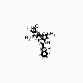 COC(=O)[C@H](C[C@@H]1CCNC1=O)NC(=O)[C@H](CC(C)C)NC(=O)c1nc2ccccc2[nH]1